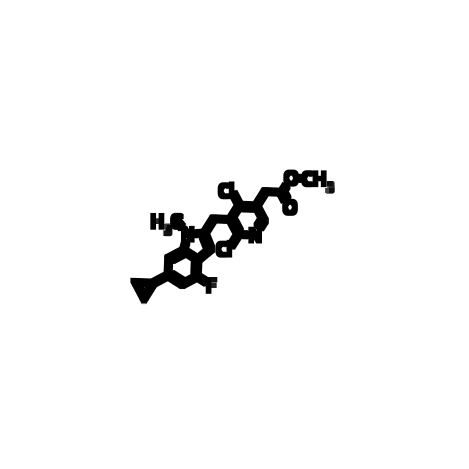 COC(=O)Cc1cnc(Cl)c(Cc2cc3c(F)cc(C4CC4)cc3n2C)c1Cl